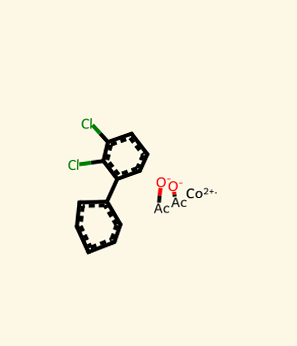 CC(=O)[O-].CC(=O)[O-].Clc1cccc(-c2ccccc2)c1Cl.[Co+2]